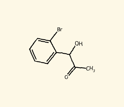 CC(=O)C(O)c1ccccc1Br